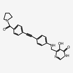 O=C(c1ccc(C#Cc2ccc(NCc3nc[nH]c(=O)c3O)cc2)cc1)N1CCCC1